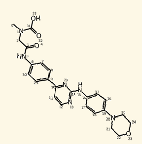 CN(CC(=O)Nc1ccc(-c2ccnc(Nc3ccc(N4CCOCC4)cc3)n2)cc1)C(=O)O